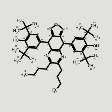 CCCCc1nc2c(nc1CCCC)C(c1cc(C(C)(C)C)c(O)c(C(C)(C)C)c1)c1nsnc1C2c1cc(C(C)(C)C)c(O)c(C(C)(C)C)c1